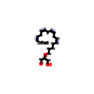 CCCCC/C=C\C/C=C\C/C=C\C/C=C\CCCCOC(C[O])CO